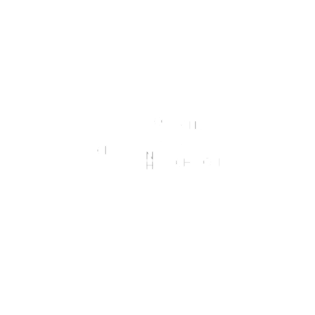 CC(C)(CO)C(=O)NCc1ccccc1Cl